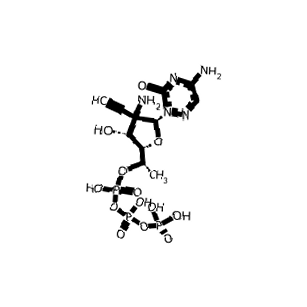 C#CC1(N)[C@@H](O)[C@@H]([C@H](C)OP(=O)(O)OP(=O)(O)OP(=O)(O)O)O[C@H]1n1ncc(N)nc1=O